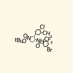 Cc1cc(C2CN(C(=O)OC(C)(C)C)CCC2NC(=O)c2cc(Br)cc(C(F)(F)F)c2)ccc1Cl